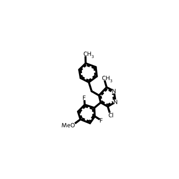 COc1cc(F)c(-c2c(Cl)nnc(C)c2Cc2ccc(C)cc2)c(F)c1